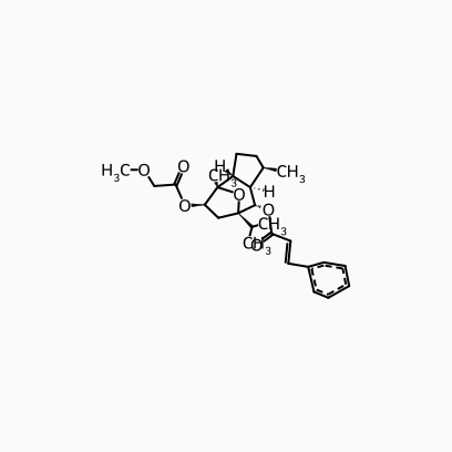 COCC(=O)O[C@@H]1C[C@]2(C(C)C)O[C@@]1(C)[C@@H]1CC[C@@H](C)[C@H]1[C@@H]2OC(=O)/C=C/c1ccccc1